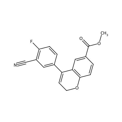 COC(=O)c1ccc2c(c1)C(c1ccc(F)c(C#N)c1)=CCO2